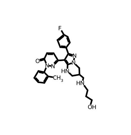 Cc1ccccc1-n1nc(-c2c(-c3ccc(F)cc3)nn3c2NCC(CNCCCO)C3)ccc1=O